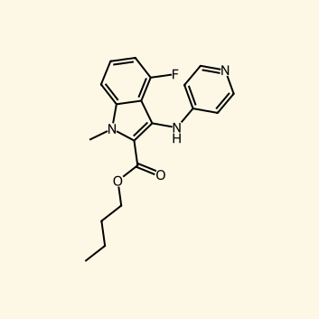 CCCCOC(=O)c1c(Nc2ccncc2)c2c(F)cccc2n1C